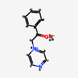 O=C(C[n+]1ccncc1)c1ccccc1.[Br-]